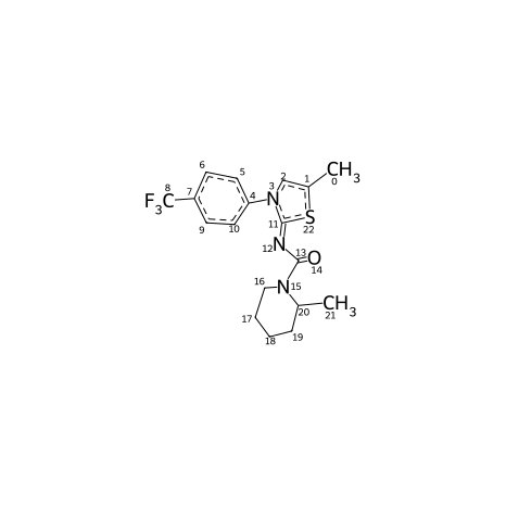 Cc1cn(-c2ccc(C(F)(F)F)cc2)c(=NC(=O)N2CCCCC2C)s1